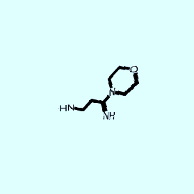 [NH]CCC(=N)N1CCOCC1